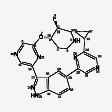 F[C@H]1CNCC[C@@H]1Oc1cncc(-c2n[nH]c3ccc(-c4cncc(C5CC5)n4)cc23)n1